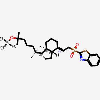 CC[Si](CC)(CC)OC(C)(C)CCC[C@@H](C)[C@H]1CC[C@H]2/C(=C/CS(=O)(=O)c3nc4ccccc4s3)CCC[C@]12C